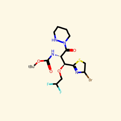 CC(C)(C)OC(=O)N[C@H](C(=O)N1CCCCN1)[C@H](OCC(F)F)C1=NC(Br)CS1